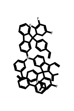 C=CC1=C(C(=C)C)C(C2=CCC(C=C)C=C2)(c2cc(F)cc(F)c2F)c2cc(N(c3cccc(-c4cccc(-c5ccccc5)c4)c3)c3ccc4c(c3)C(c3ccc(C=C)cc3)(C3CC(F)=CC(F)=C3F)c3ccccc3-4)ccc21